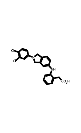 O=C(O)Cc1ccccc1Nc1ccc2c(c1)CN(c1ccc(Cl)c(Cl)c1)C2